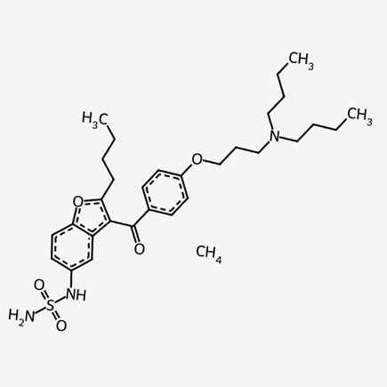 C.CCCCc1oc2ccc(NS(N)(=O)=O)cc2c1C(=O)c1ccc(OCCCN(CCCC)CCCC)cc1